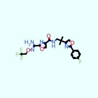 CC(C)(CNC(=O)c1coc(/C(N)=N/OCC(F)(F)F)n1)c1coc(-c2ccc(F)cc2)n1